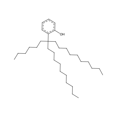 CCCCCCCCCCC(CCCCCC)(CCCCCCCCCC)c1ccccc1O